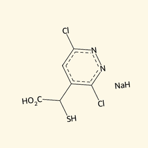 O=C(O)C(S)c1cc(Cl)nnc1Cl.[NaH]